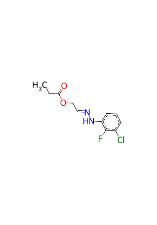 CCC(=O)OCC=NNc1cccc(Cl)c1F